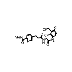 CNC(=O)c1ccc(CCC(=O)NCC(=O)N(C)c2ccc(Cl)c(CCl)c2Cl)cn1